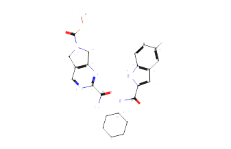 CC(C)(C)OC(=O)N1Cc2cnc(C(=O)N[C@H]3CCCC[C@H]3NC(=O)c3cc4cc(Cl)ccc4[nH]3)nc2C1